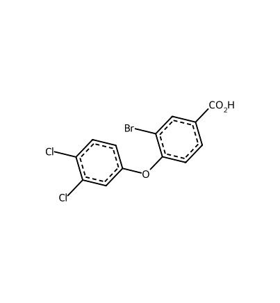 O=C(O)c1ccc(Oc2ccc(Cl)c(Cl)c2)c(Br)c1